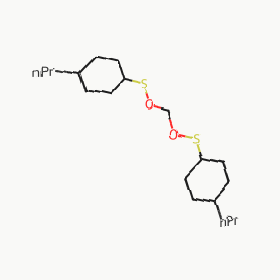 CCCC1CCC(SOCOSC2CCC(CCC)CC2)CC1